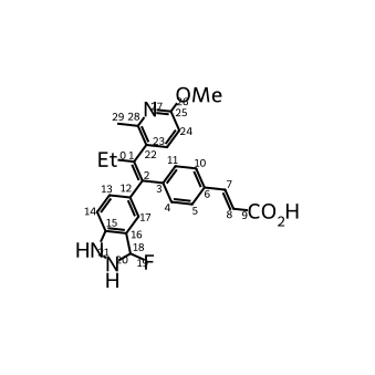 CC/C(=C(/c1ccc(/C=C/C(=O)O)cc1)c1ccc2c(c1)C(F)NN2)c1ccc(OC)nc1C